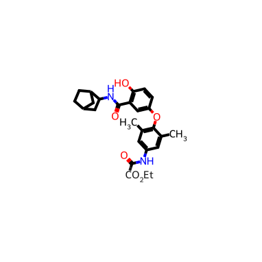 CCOC(=O)C(=O)Nc1cc(C)c(Oc2ccc(O)c(C(=O)NC3CC4CCC3C4)c2)c(C)c1